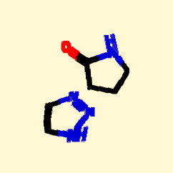 O=C1CCCN1.c1c[nH]nn1